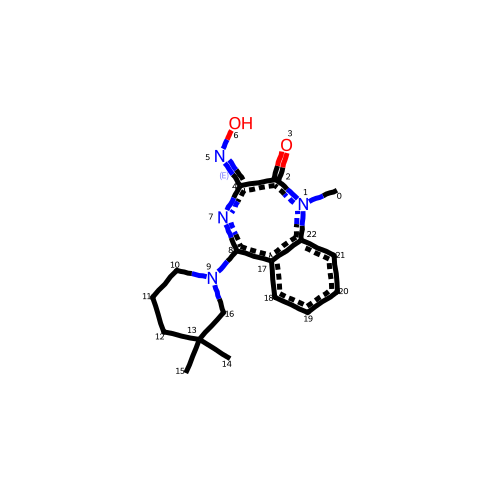 Cn1c(=O)/c(=N\O)nc(N2CCCC(C)(C)C2)c2ccccc21